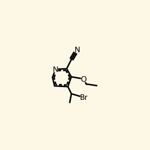 CCOc1c(C(C)Br)ccnc1C#N